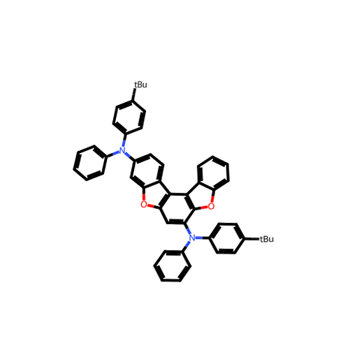 CC(C)(C)c1ccc(N(c2ccccc2)c2ccc3c(c2)oc2cc(N(c4ccccc4)c4ccc(C(C)(C)C)cc4)c4oc5ccccc5c4c23)cc1